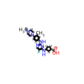 Cc1cc(Nc2ncc(F)c(N[C@H]3CC[C@H](C(=O)O)C3)n2)ccc1N1CCN(C)CC1